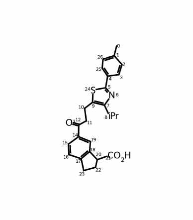 Cc1ccc(-c2nc(C(C)C)c(CCC(=O)c3ccc4c(c3)C(C(=O)O)CC4)s2)cc1